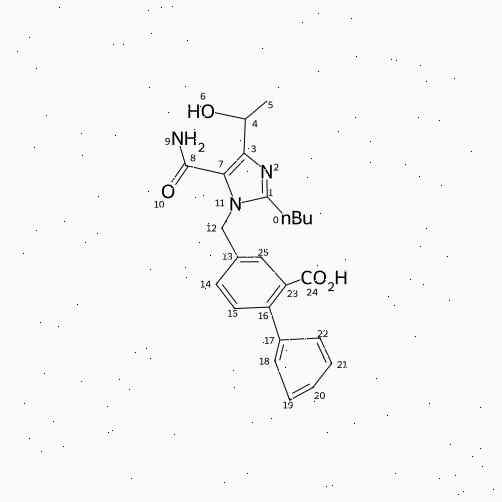 CCCCc1nc(C(C)O)c(C(N)=O)n1Cc1ccc(-c2ccccc2)c(C(=O)O)c1